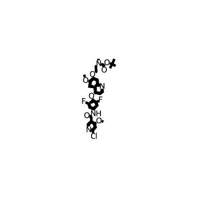 COc1cc2c(Oc3c(F)cc(NC(=O)c4cnc(Cl)cc4OC)cc3F)ccnc2cc1OCCN(C)C(=O)OC(C)(C)C